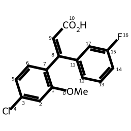 COc1cc(Cl)ccc1C(=CC(=O)O)c1cccc(F)c1